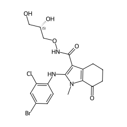 Cn1c(Nc2ccc(Br)cc2Cl)c(C(=O)NOC[C@@H](O)CO)c2c1C(=O)CCC2